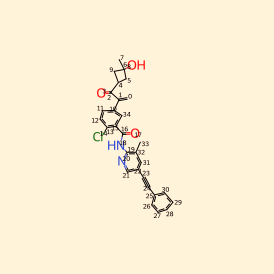 C=C(C(=O)C1CC(C)(O)C1)c1ccc(Cl)c(C(=O)Nc2ncc(C#Cc3ccccc3)cc2C)c1